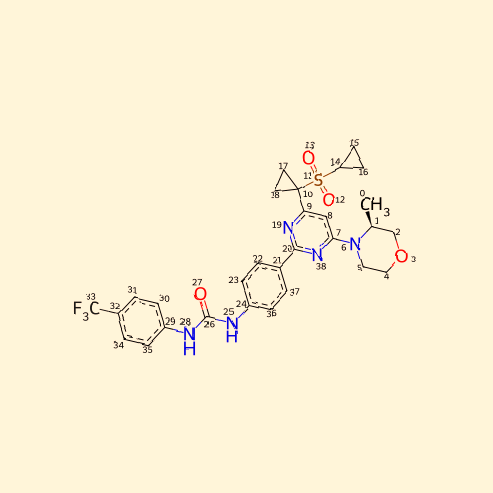 C[C@H]1COCCN1c1cc(C2(S(=O)(=O)C3CC3)CC2)nc(-c2ccc(NC(=O)Nc3ccc(C(F)(F)F)cc3)cc2)n1